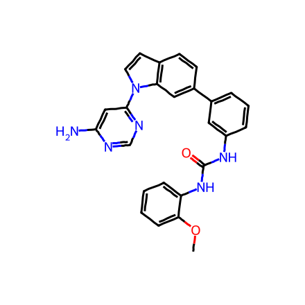 COc1ccccc1NC(=O)Nc1cccc(-c2ccc3ccn(-c4cc(N)ncn4)c3c2)c1